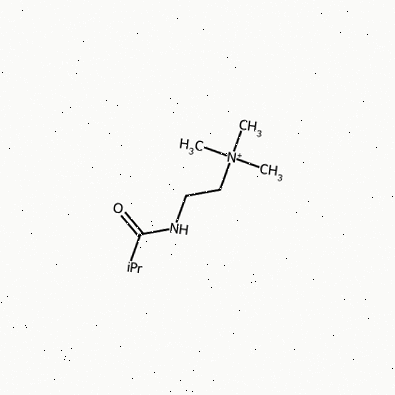 CC(C)C(=O)NCC[N+](C)(C)C